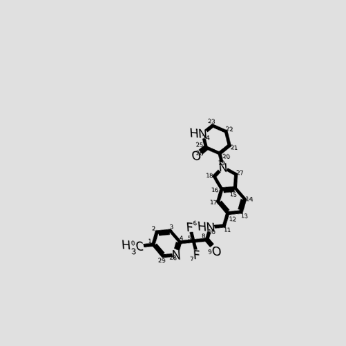 Cc1ccc(C(F)(F)C(=O)NCc2ccc3c(c2)CN(C2CCCNC2=O)C3)nc1